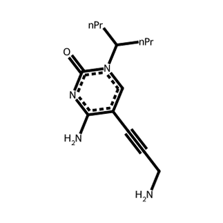 CCCC(CCC)n1cc(C#CCN)c(N)nc1=O